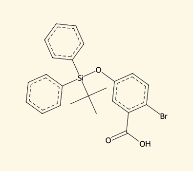 CC(C)(C)[Si](Oc1ccc(Br)c(C(=O)O)c1)(c1ccccc1)c1ccccc1